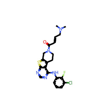 CN(C)CC=CC(=O)N1CCc2c(sc3ncnc(Nc4cccc(Cl)c4F)c23)C1